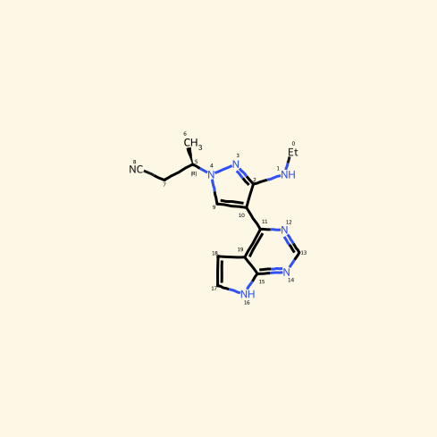 CCNc1nn([C@H](C)CC#N)cc1-c1ncnc2[nH]ccc12